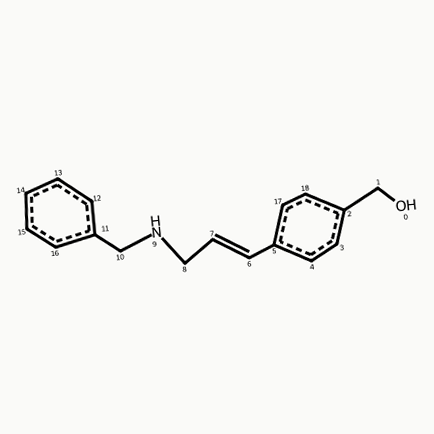 OCc1ccc(/C=C/CNCc2ccccc2)cc1